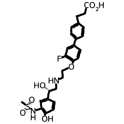 CS(=O)(=O)Nc1cc([C@H](O)CNCCOc2ccc(-c3ccc(CCC(=O)O)cc3)cc2F)ccc1O